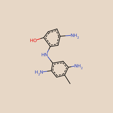 Cc1cc(N)c(Nc2cc(N)ccc2O)cc1N